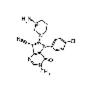 Cn1cnc2c(C#N)c(N3CCC[C@H](N)C3)n(-c3ccc(Cl)cc3)c2c1=O